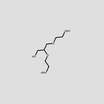 CCCCCCCCCCCCOCC(CO)OCCCCCCCCCCCC